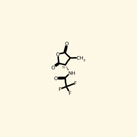 CC1C(=O)OC(=O)[C@H]1NC(=O)C(F)(F)F